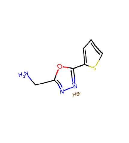 Br.NCc1nnc(-c2cccs2)o1